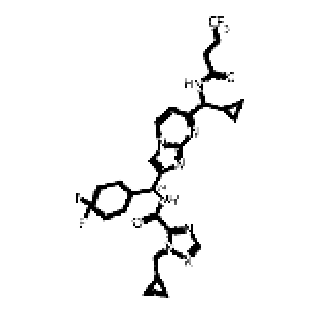 O=C(CCC(F)(F)F)NC(c1ccn2cc([C@@H](NC(=O)c3ncnn3CC3CC3)C3CCC(F)(F)CC3)nc2n1)C1CC1